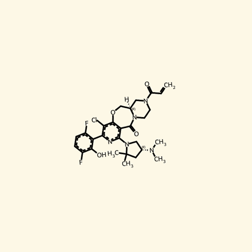 C=CC(=O)N1CCN2C(=O)c3c(N4C[C@H](N(C)C)CC4(C)C)nc(-c4c(F)ccc(F)c4O)c(Cl)c3OC[C@H]2C1